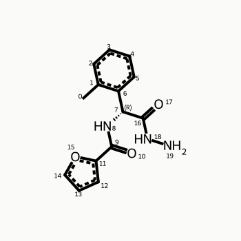 Cc1ccccc1[C@@H](NC(=O)c1ccco1)C(=O)NN